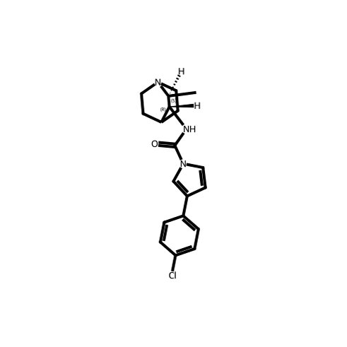 C[C@H]1[C@H](NC(=O)n2ccc(-c3ccc(Cl)cc3)c2)C2CCN1CC2